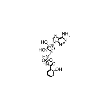 Nc1ncnc2c1ncn2[C@@H]1O[C@H](CNS(=O)(=O)NC(=O)c2ccccc2O)[C@@H](O)[C@H]1O